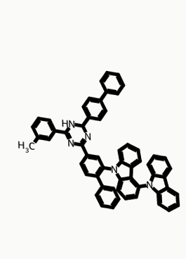 Cc1cccc(C2=NC(c3ccc(-c4ccccc4)c(-n4c5ccccc5c5c(-n6c7ccccc7c7ccccc76)cccc54)c3)=NC(c3ccc(-c4ccccc4)cc3)N2)c1